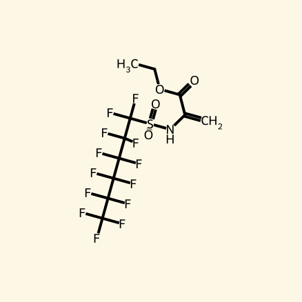 C=C(NS(=O)(=O)C(F)(F)C(F)(F)C(F)(F)C(F)(F)C(F)(F)C(F)(F)F)C(=O)OCC